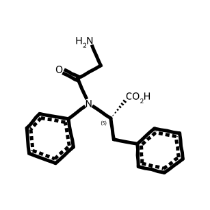 NCC(=O)N(c1ccccc1)[C@@H](Cc1ccccc1)C(=O)O